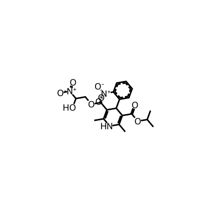 CC1=C(C(=O)OCC(O)[N+](=O)[O-])C(c2ccccc2[N+](=O)[O-])C(C(=O)OC(C)C)=C(C)N1